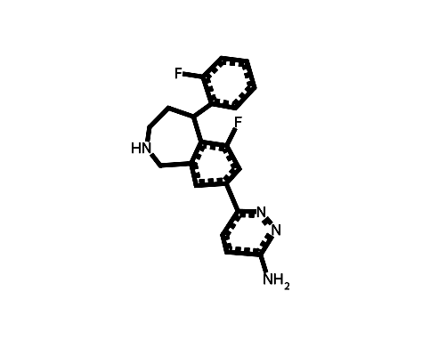 Nc1ccc(-c2cc(F)c3c(c2)CNCCC3c2ccccc2F)nn1